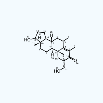 CC1=C2C(C)C[C@@H]3[C@@H](CC[C@]4(C)C(O)CC[C@@H]34)[C@@]2(C)CC(=CO)C1=O